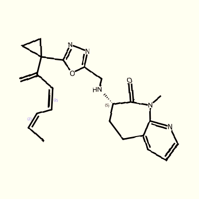 C=C(/C=C\C=C/C)C1(c2nnc(CN[C@H]3CCc4cccnc4N(C)C3=O)o2)CC1